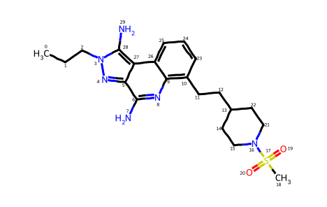 CCCn1nc2c(N)nc3c(CCC4CCN(S(C)(=O)=O)CC4)cccc3c2c1N